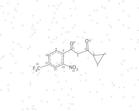 O=C(CC(=O)C1CC1)c1ccc(C(F)(F)F)cc1[N+](=O)[O-]